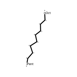 [CH2]CCCCCCCCCCCCCCCC(C)CC[CH2]